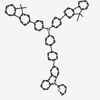 CC1(C)c2ccccc2-c2ccc(-c3ccc(N(c4ccc(-c5ccc(-c6ccc7c(c6)c6ccccc6n7-c6ccccc6)cc5)cc4)c4ccc(-c5ccc6c(c5)C(C)(C)c5ccccc5-6)cc4)cc3)cc21